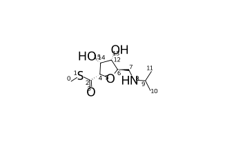 CSC(=O)[C@H]1O[C@H](CNC(C)C)[C@@H](O)[C@H]1O